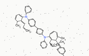 C=C/C=C\C1=C(N(c2ccccc2)c2ccc(-c3ccc(N(C4=CC=CC(C)/C4=C\C=C)c4ccccc4)cc3)cc2)C=CC=C(C)C1C(C)(C)c1ccc(C=C)cc1